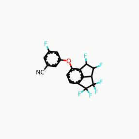 N#Cc1cc(F)cc(Oc2ccc3c4c2C(F)C(F)C4C(F)(F)C3(F)F)c1